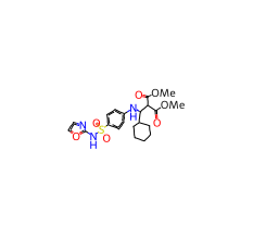 COC(=O)C(C(=O)OC)[C@H](Nc1ccc(S(=O)(=O)Nc2ncco2)cc1)C1CCCCC1